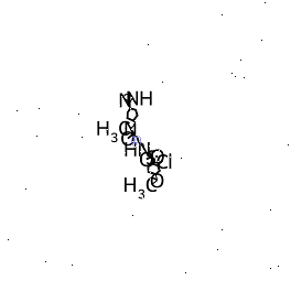 COc1ccc(S(=O)(=O)CNC/C=C/C(=O)N(C)Cc2ccc(C3=NCCN3)cc2)c(Cl)c1